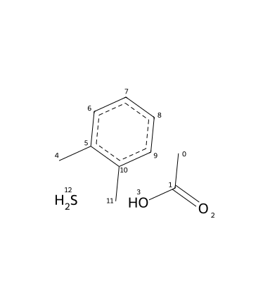 CC(=O)O.Cc1ccccc1C.S